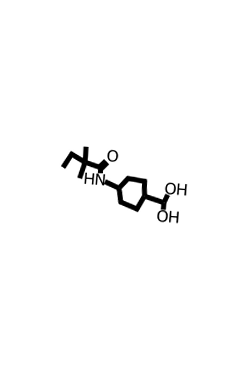 CCC(C)(C)C(=O)NC1CCC(C(O)O)CC1